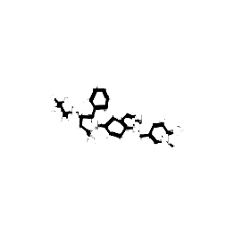 Cn1cc(Cn2ncc3cc(N4C(=O)CC(NC(=O)C(C)(F)F)C4c4ccccc4)ccc32)ccc1=O